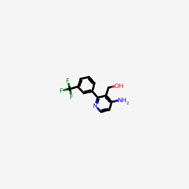 Nc1ccnc(-c2cccc(C(F)(F)F)c2)c1CO